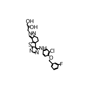 OC[C@H](O)Cn1cc2c(n1)CCc1c-2sc2ncnc(Nc3ccc(OCc4cccc(F)c4)c(Cl)c3)c12